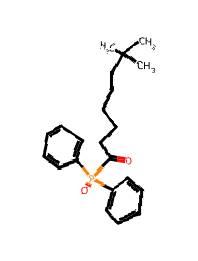 CC(C)(C)CCCCCC(=O)P(=O)(c1ccccc1)c1ccccc1